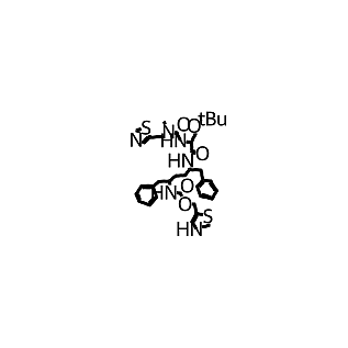 CN(Cc1cncs1)C(=O)NC(COC(C)(C)C)C(=O)NC(CCC(Cc1ccccc1)NC(=O)OCC1=CNCS1)Cc1ccccc1